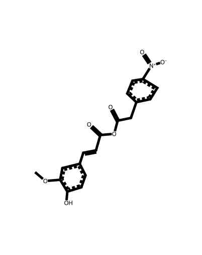 COc1cc(C=CC(=O)OC(=O)Cc2ccc([N+](=O)[O-])cc2)ccc1O